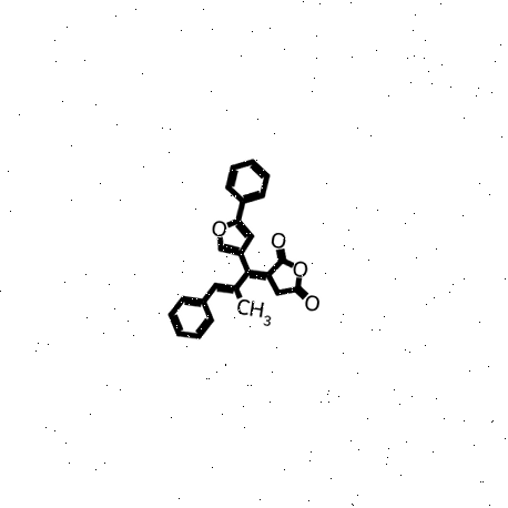 CC(=Cc1ccccc1)C(=C1CC(=O)OC1=O)c1coc(-c2ccccc2)c1